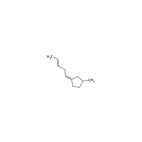 CC=CCC=C1CCC(C)C1